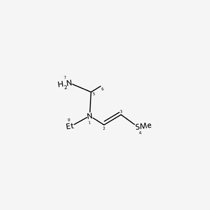 CCN(C=CSC)C(C)N